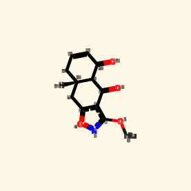 CCCCOc1noc2c1C(=O)C1C(=O)C=CC[C@H]1C2